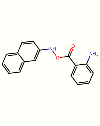 Nc1ccccc1C(=O)ONc1ccc2ccccc2c1